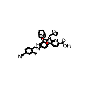 N#Cc1ccc(CNc2cccc(N3CC4CCC(C3)N4Cc3nc4ccc(C(=O)O)nc4n3CC3CCO3)c2)c(F)c1